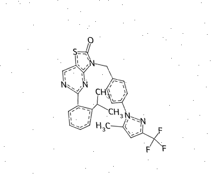 Cc1cc(C(F)(F)F)nn1-c1ccc(Cn2c(=O)sc3cnc(-c4ccccc4C(C)C)nc32)cc1